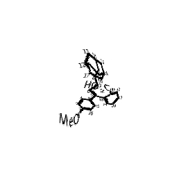 COc1ccc(C(=CCC23CC4CC(CC(C4)C2)C3)c2ccccc2C(=O)O)cc1